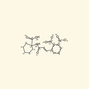 O=C(C=Cc1cccc([N+](=O)[O-])c1[N+](=O)[O-])NC1(C(=O)O)CCCCC1